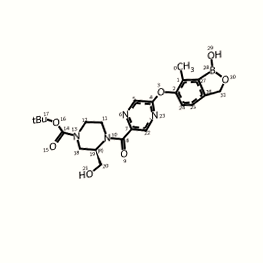 Cc1c(Oc2cnc(C(=O)N3CCN(C(=O)OC(C)(C)C)C[C@@H]3CO)cn2)ccc2c1B(O)OC2